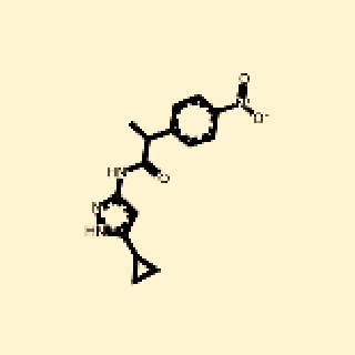 CC(C(=O)Nc1cc(C2CC2)[nH]n1)c1ccc([N+](=O)[O-])cc1